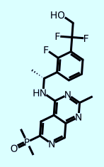 Cc1nc(N[C@H](C)c2cccc(C(F)(F)CO)c2F)c2cc(P(C)(C)=O)ncc2n1